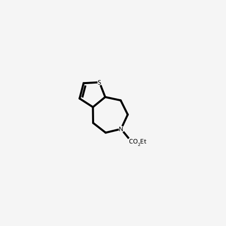 CCOC(=O)N1CCC2C=CSC2CC1